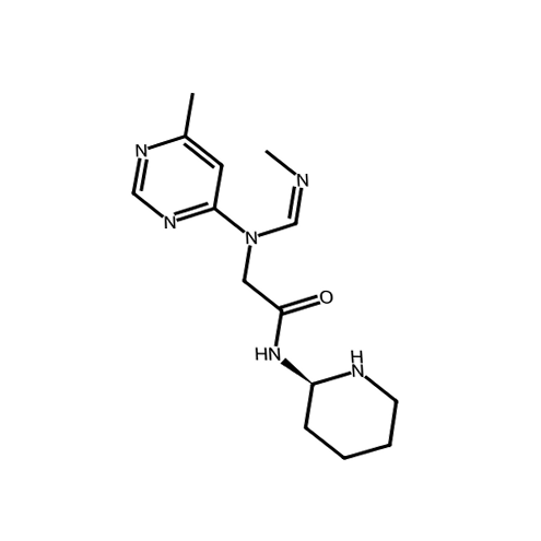 C/N=C\N(CC(=O)N[C@@H]1CCCCN1)c1cc(C)ncn1